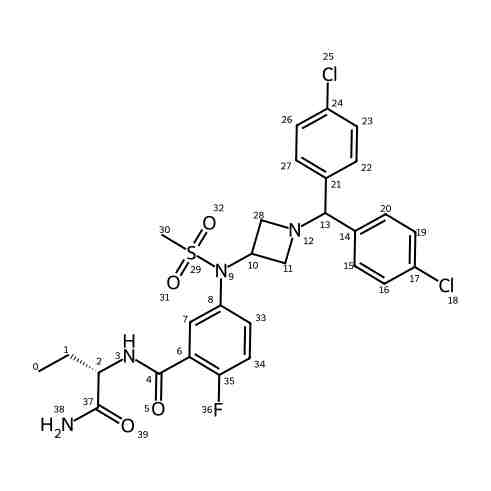 CC[C@H](NC(=O)c1cc(N(C2CN(C(c3ccc(Cl)cc3)c3ccc(Cl)cc3)C2)S(C)(=O)=O)ccc1F)C(N)=O